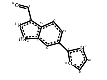 O=Cc1n[nH]c2cc(-c3ncco3)ccc12